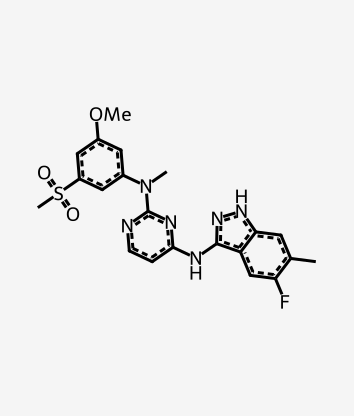 COc1cc(N(C)c2nccc(Nc3n[nH]c4cc(C)c(F)cc34)n2)cc(S(C)(=O)=O)c1